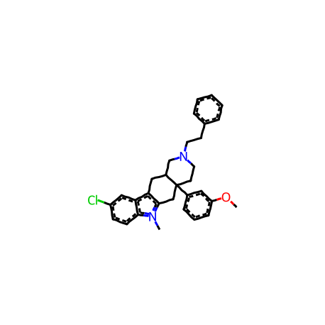 COc1cccc(C23CCN(CCc4ccccc4)CC2Cc2c(n(C)c4ccc(Cl)cc24)C3)c1